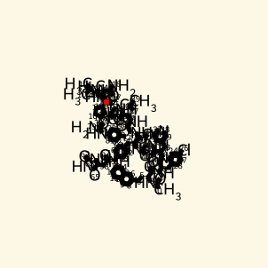 CC(=O)N[C@H](CCc1ccc2ccccc2c1)C(=O)N[C@H](Cc1ccc(Cl)cc1)C(=O)NC(Cc1cccnc1)C(=O)N[C@@H](CO)C(=O)N[C@@H](Cc1ccc(NC(=O)CC2NC(=O)NC2=O)cc1)C(=O)N[C@H](Cc1ccc(NC(N)=O)cc1)C(=O)N[C@@H](CC(C)C)C(=O)N[C@@H](CCCCNC(C)C)C(=O)N1CCC[C@H]1C(=O)N[C@H](C)C(N)=O